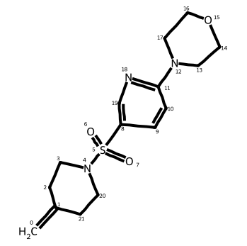 C=C1CCN(S(=O)(=O)c2ccc(N3CCOCC3)nc2)CC1